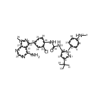 CNc1ccc(-n2nc(C(C)(C)C)cc2NC(=O)Nc2ccc(-c3nn(C)c4ncnc(N)c34)cc2Cl)cc1